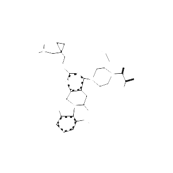 C=C(F)C(=O)N1CCN(c2nc(OCC3(CN(C)C)CC3)nc3c2CC(C)N(c2c(F)cccc2OC(F)(F)F)C3)C[C@@H]1CC#N